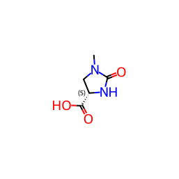 CN1C[C@@H](C(=O)O)NC1=O